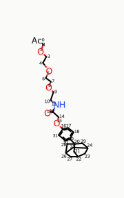 CC(=O)COCCOCCOCCNC(=O)COc1ccc(C23CC4CC(CC(C4)C2)C3)cc1